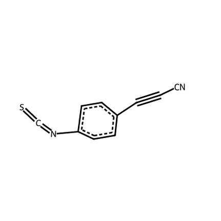 N#CC#Cc1ccc(N=C=S)cc1